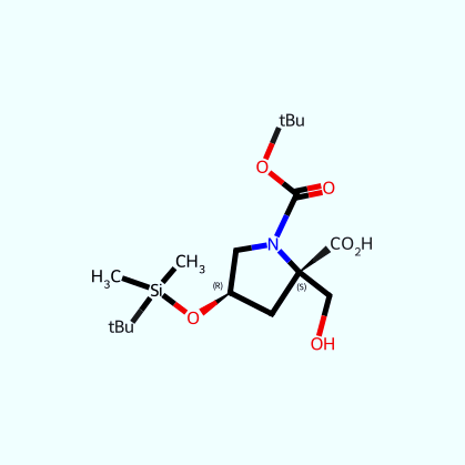 CC(C)(C)OC(=O)N1C[C@H](O[Si](C)(C)C(C)(C)C)C[C@]1(CO)C(=O)O